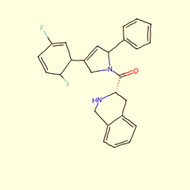 O=C([C@@H]1Cc2ccccc2CN1)N1CC(C2C=C(F)C=CC2F)=CC1c1ccccc1